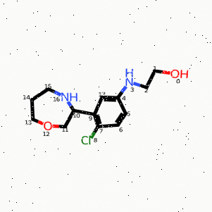 OCCNc1ccc(Cl)c(C2COCCCN2)c1